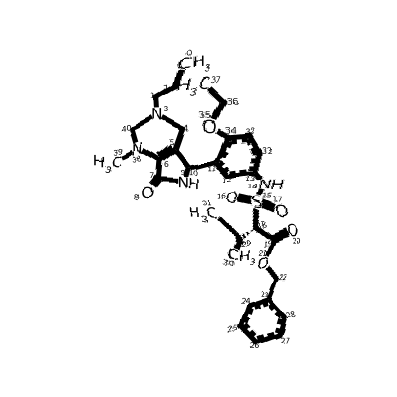 CCCN1CC2=C(C(=O)NC2c2cc(NS(=O)(=O)[C@H](C(=O)OCc3ccccc3)C(C)C)ccc2OCC)N(C)C1